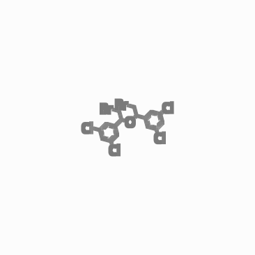 Clc1cc(Cl)cc(C(CBr)OC(CBr)c2cc(Cl)cc(Cl)c2)c1